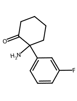 NC1(c2cccc(F)c2)CCCCC1=O